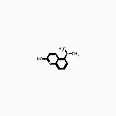 CN(C)c1cccc2nc(C#N)ccc12